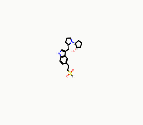 CCS(=O)(=O)CCc1ccc2[nH]cc(C[C@H]3CCCN3[C@H]3CCC[C@@H]3O)c2c1